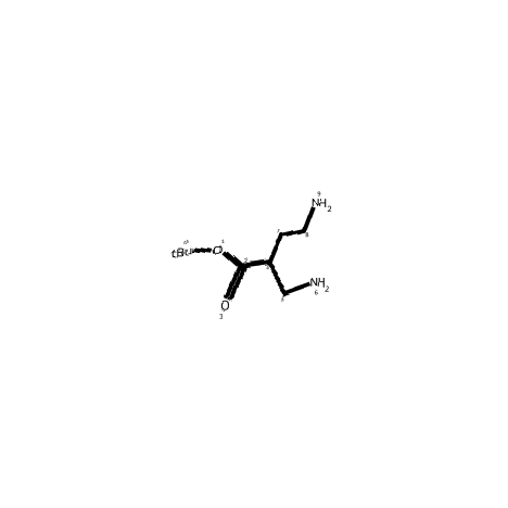 CC(C)(C)OC(=O)C(CN)CCN